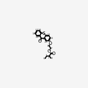 CCC(C)C(=O)OCCOc1ccc2sc3ccccc3c(=O)c2c1